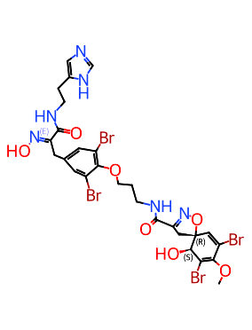 COC1=C(Br)[C@@H](O)[C@]2(C=C1Br)CC(C(=O)NCCCOc1c(Br)cc(C/C(=N\O)C(=O)NCCc3cnc[nH]3)cc1Br)=NO2